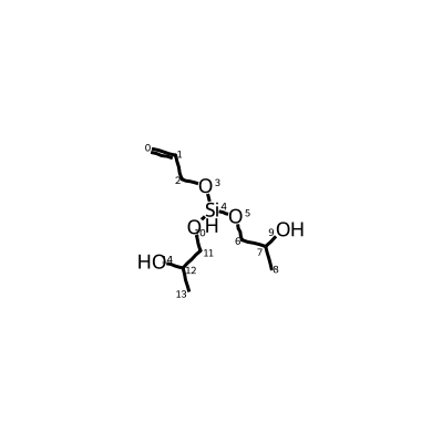 C=CCO[SiH](OCC(C)O)OCC(C)O